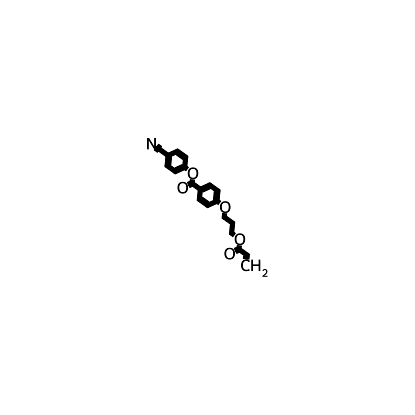 C=CC(=O)OCCCOc1ccc(C(=O)Oc2ccc(C#N)cc2)cc1